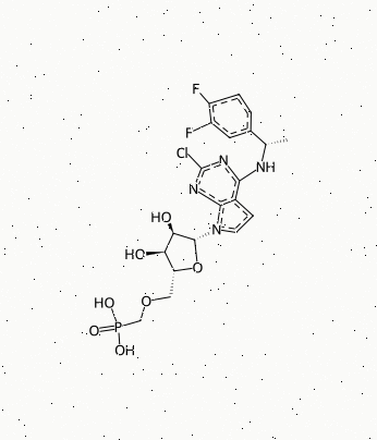 C[C@H](Nc1nc(Cl)nc2c1ccn2[C@@H]1O[C@H](COCP(=O)(O)O)[C@@H](O)[C@H]1O)c1ccc(F)c(F)c1